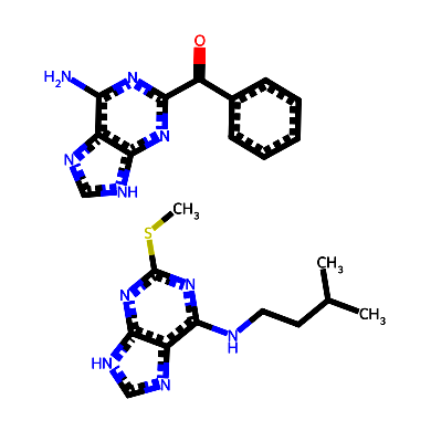 CSc1nc(NCCC(C)C)c2nc[nH]c2n1.Nc1nc(C(=O)c2ccccc2)nc2[nH]cnc12